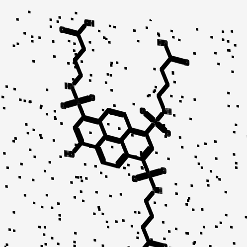 O=C(O)CCCNS(=O)(=O)c1cc(O)c2ccc3c(S(=O)(=O)NCCCC(=O)O)cc(S(=O)(=O)NCCCC(=O)O)c4ccc1c2c34